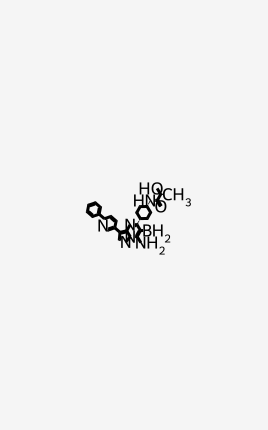 Bc1c(N)n2ncc(-c3ccc(-c4ccccc4)nc3)c2nc1[C@H]1CC[C@@H](NC(=O)[C@@H](C)O)CC1